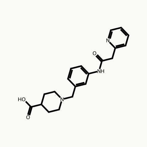 O=C(Cc1ccccn1)Nc1cccc(CN2CCC(C(=O)O)CC2)c1